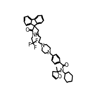 CC1(N(C(=O)c2ccc(N3CCN(CCCCC4(C(=O)NCC(F)(F)F)c5ccccc5-c5ccccc54)CC3)cc2)C2CCCCC2)CC=CO1